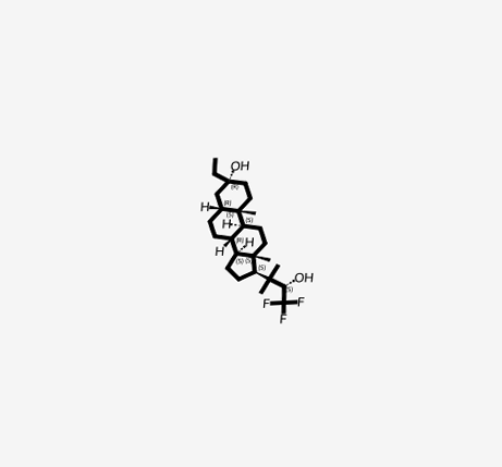 CC[C@@]1(O)CC[C@@]2(C)[C@H](CC[C@@H]3[C@@H]2CC[C@]2(C)[C@@H](C(C)(C)[C@H](O)C(F)(F)F)CC[C@@H]32)C1